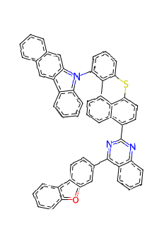 c1cc2c(c(-n3c4ccccc4c4cc5ccccc5cc43)c1)-c1cccc3c(-c4nc(-c5ccc6c(c5)oc5ccccc56)c5ccccc5n4)ccc(c13)S2